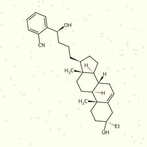 CC[C@]1(O)CC[C@@]2(C)C(=CC[C@H]3[C@@H]4CC[C@H](CCC[C@H](O)c5ccccc5C#N)[C@@]4(C)CC[C@@H]32)C1